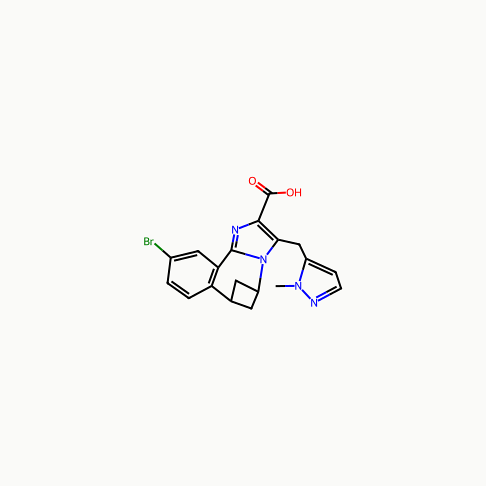 Cn1nccc1Cc1c(C(=O)O)nc2n1C1CC(C1)c1ccc(Br)cc1-2